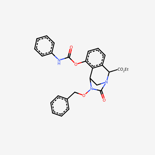 CCOC(=O)C1c2cccc(OC(=O)Nc3ccccc3)c2C2CN1C(=O)N2OCc1ccccc1